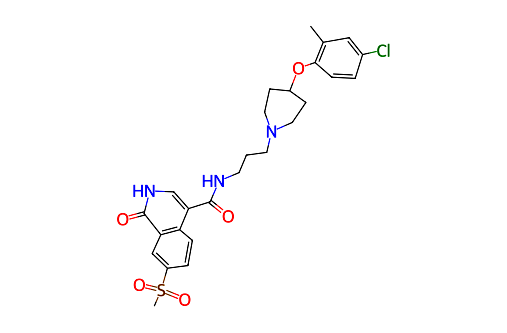 Cc1cc(Cl)ccc1OC1CCN(CCCNC(=O)c2c[nH]c(=O)c3cc(S(C)(=O)=O)ccc23)CC1